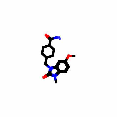 COc1ccc2c(c1)n(CC1CCC(C(N)=O)CC1)c(=O)n2C